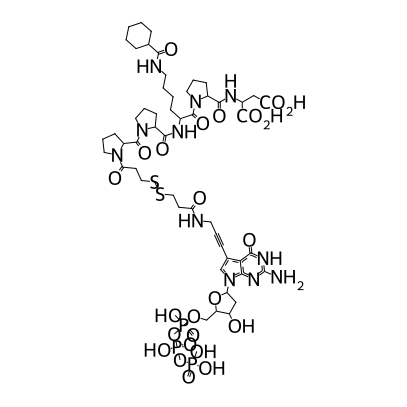 Nc1nc2c(c(C#CCNC(=O)CCSSCCC(=O)N3CCCC3C(=O)N3CCCC3C(=O)NC(CCCCNC(=O)C3CCCCC3)C(=O)N3CCCC3C(=O)NC(CC(=O)O)C(=O)O)cn2C2CC(O)C(COP(=O)(O)OP(=O)(O)OP(=O)(O)O)O2)c(=O)[nH]1